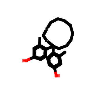 Cc1cc(O)ccc1C1(c2ccc(O)cc2C)CCCCCCCCCCC1